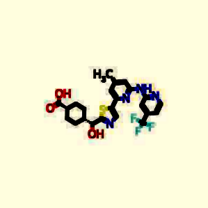 Cc1cc(Nc2cc(C(F)(F)F)ccn2)nc(-c2cnc(C(O)[C@H]3CC[C@H](C(=O)O)CC3)s2)c1